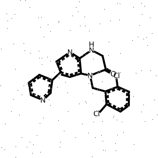 O=C1CNc2ncc(-c3cccnc3)cc2N1Cc1c(Cl)cccc1Cl